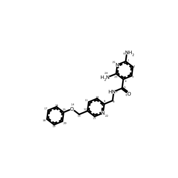 Nc1ccc(C(=O)NCc2ccc(COc3ccccc3)cn2)c(N)n1